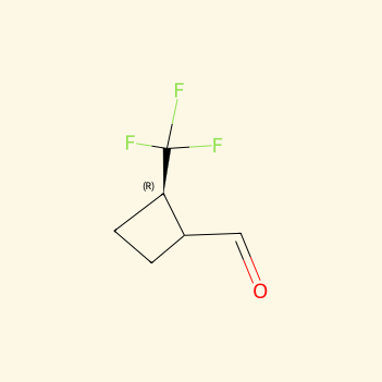 O=CC1CC[C@H]1C(F)(F)F